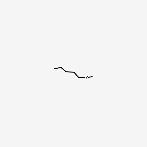 CCCC[CH2][Y][CH3]